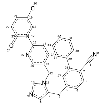 N#Cc1ccc(Cc2cncn2Cc2ccc(-n3cc(Cl)ccc3=O)nc2)cc1-c1ccccc1